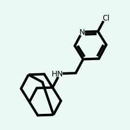 Clc1ccc(CNC23CC4CC(CC(C4)C2)C3)cn1